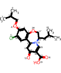 CC(C)COc1cc2c(cc1Cl)-c1cc(=O)c(C(=O)O)cn1C(CC(C)C)CO2